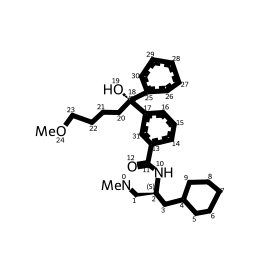 CNC[C@H](CC1CCCCC1)NC(=O)c1cccc([C@@](O)(CCCCOC)c2ccccc2)c1